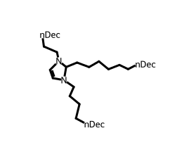 CCCCCCCCCCCCCCCCC1N(CCCCCCCCCCCC)C=CN1CCCCCCCCCCCCCC